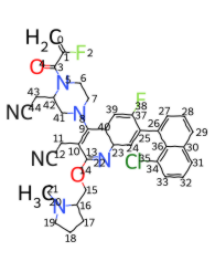 C=C(F)C(=O)N1CCN(C2=C(CC#N)C(OCC3CCCN3C)=NC3C=C(c4cccc5cccc(Cl)c45)C(F)=CC23)CC1CC#N